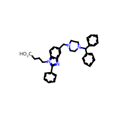 O=C(O)CCCn1c(-c2ccccc2)nc2cc(CN3CCN(C(c4ccccc4)c4ccccc4)CC3)ccc21